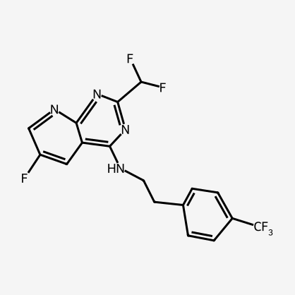 Fc1cnc2nc(C(F)F)nc(NCCc3ccc(C(F)(F)F)cc3)c2c1